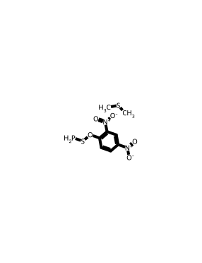 CSC.O=[N+]([O-])c1ccc(OSP)c([N+](=O)[O-])c1